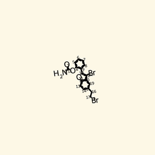 NC(=O)Oc1ccccc1-c1oc2ccc(CCBr)cc2c1Br